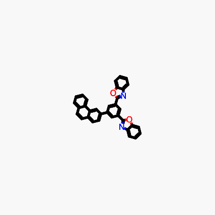 c1ccc2c(c1)ccc1ccc(-c3cc(-c4nc5ccccc5o4)cc(-c4nc5ccccc5o4)c3)cc12